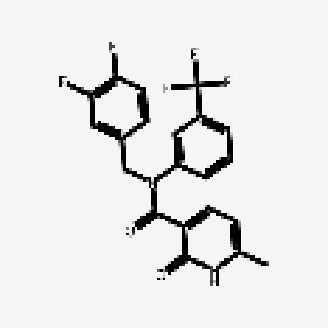 Cc1ccc(C(=O)N(Cc2ccc(F)c(F)c2)c2cccc(C(F)(F)F)c2)c(=O)[nH]1